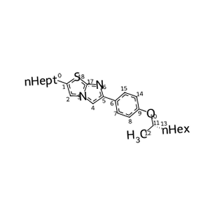 CCCCCCCc1cn2cc(-c3ccc(O[C@@H](C)CCCCCC)cc3)nc2s1